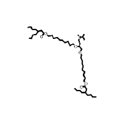 CCCCC(CCCC)CC(=O)OCCCCCCCCCCOCC(CCN(C)C(C)C)OCCCCCCCCCCOC(=O)CC(CCCC)CCCC